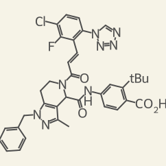 Cc1nn(Cc2ccccc2)c2c1C(C(=O)Nc1ccc(C(=O)O)c(C(C)(C)C)c1)N(C(=O)C=Cc1c(-n3cnnn3)ccc(Cl)c1F)CC2